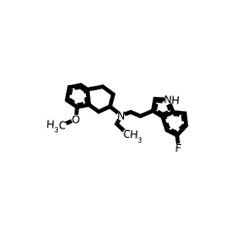 CCN(CCc1c[nH]c2ccc(F)cc12)C1CCc2cccc(OC)c2C1